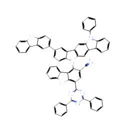 N#Cc1cc(-c2nc(-c3ccccc3)nc(-c3ccccc3)n2)c2oc3ccccc3c2c1-n1c2ccc(-c3ccc4oc5ccccc5c4c3)cc2c2cc3c(cc21)c1ccccc1n3-c1ccccc1